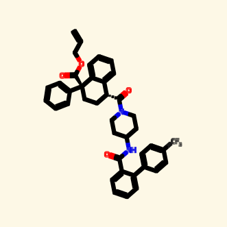 C=CCOC(=O)[C@]1(c2ccccc2)CC[C@@H](C(=O)N2CCC(NC(=O)c3ccccc3-c3ccc(C(F)(F)F)cc3)CC2)c2ccccc21